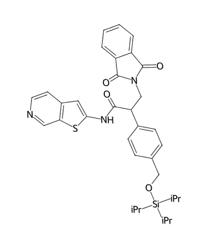 CC(C)[Si](OCc1ccc(C(CN2C(=O)c3ccccc3C2=O)C(=O)Nc2cc3ccncc3s2)cc1)(C(C)C)C(C)C